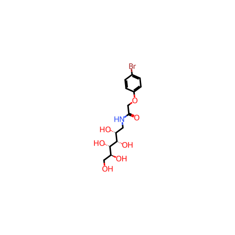 O=C(COc1ccc(Br)cc1)NC[C@@H](O)[C@H](O)[C@@H](O)[C@@H](O)CO